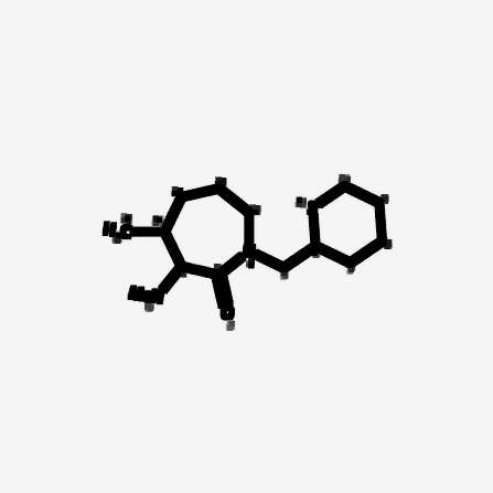 CNC1C(=O)N(CC2CCCCS2)CCCC1C